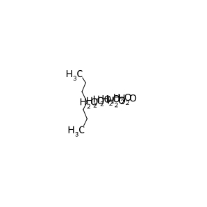 CCCCCCC.O.O.O.O.O.O.O